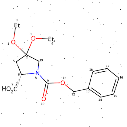 CCOC1(OCC)C[C@@H](C(=O)O)N(C(=O)OCc2ccccc2)C1